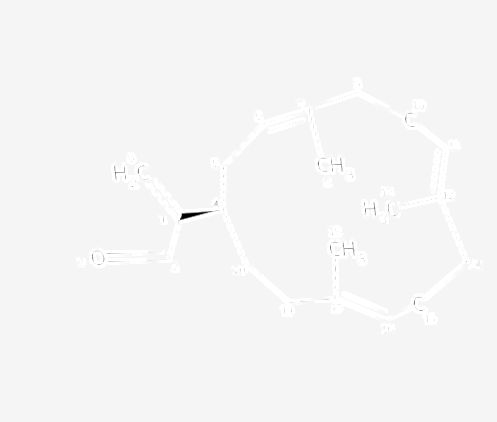 C=C(C=O)[C@H]1C/C=C(\C)CC/C=C(\C)CC/C=C(\C)CC1